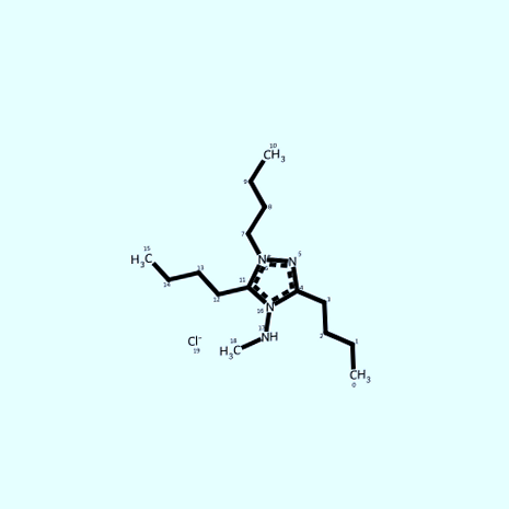 CCCCc1n[n+](CCCC)c(CCCC)n1NC.[Cl-]